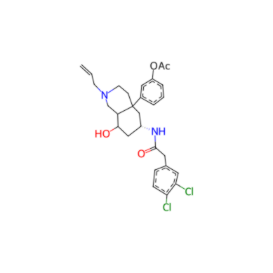 C=CCN1CCC2(c3cccc(OC(C)=O)c3)C[C@H](NC(=O)Cc3ccc(Cl)c(Cl)c3)CC(O)C2C1